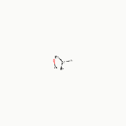 CC(=O)[O-].CC(C)[Si+](C(C)C)C(C)C